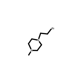 CC(C)CCN1CCN(C)CC1